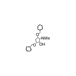 CNC1C(OCc2ccccc2)CC(OCc2ccccc2)C1O